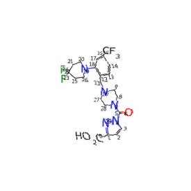 O=C(O)c1ccn(C(=O)N2CCN(Cc3ccc(C(F)(F)F)cc3N3CCC(F)(F)CC3)CC2)n1